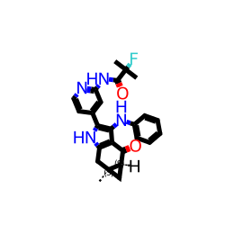 CC(C)(F)C(=O)Nc1cc(-c2[nH]c3c(c2Nc2ccccc2)C(=O)[C@H]2C[C@@]2(C)C3)ccn1